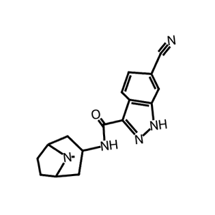 CN1C2CCC1CC(NC(=O)c1n[nH]c3cc(C#N)ccc13)C2